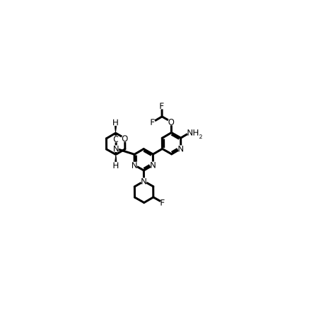 Nc1ncc(-c2cc(N3C[C@@H]4CC[C@H]3CO4)nc(N3CCCC(F)C3)n2)cc1OC(F)F